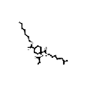 C=CC(=O)OC1(C(=O)OCCCCCC(C)C)CCC(C(=O)OCCCCCCC)CC1